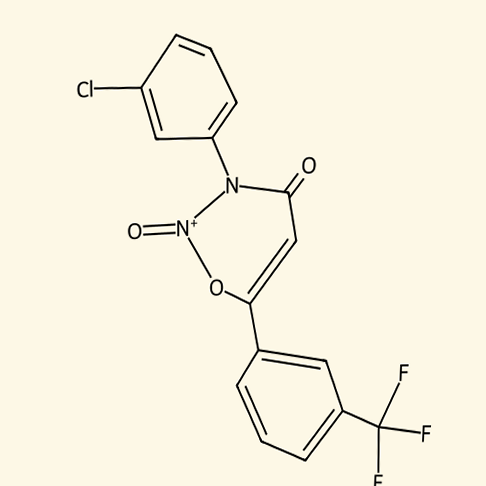 O=c1cc(-c2cccc(C(F)(F)F)c2)o[n+](=O)n1-c1cccc(Cl)c1